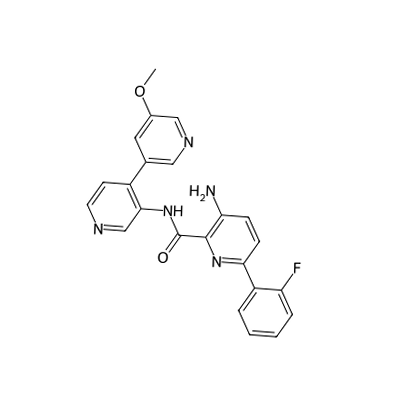 COc1cncc(-c2ccncc2NC(=O)c2nc(-c3ccccc3F)ccc2N)c1